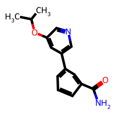 CC(C)Oc1cncc(-c2cccc(C(N)=O)c2)c1